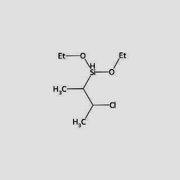 CCO[SiH](OCC)C(C)C(C)Cl